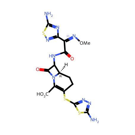 CO/N=C(\C(=O)NC1C(=O)N2C(C(=O)O)=C(Sc3nnc(N)s3)CC[C@H]12)c1nsc(N)n1